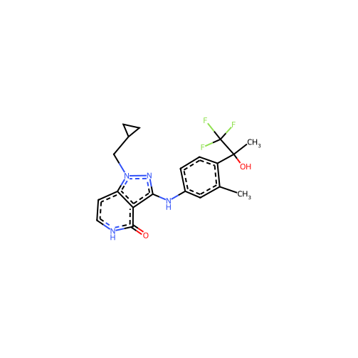 Cc1cc(Nc2nn(CC3CC3)c3cc[nH]c(=O)c23)ccc1C(C)(O)C(F)(F)F